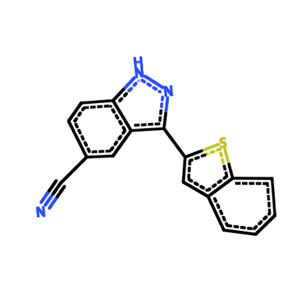 N#Cc1ccc2[nH]nc(-c3cc4ccccc4s3)c2c1